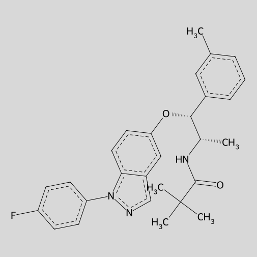 Cc1cccc([C@@H](Oc2ccc3c(cnn3-c3ccc(F)cc3)c2)[C@H](C)NC(=O)C(C)(C)C)c1